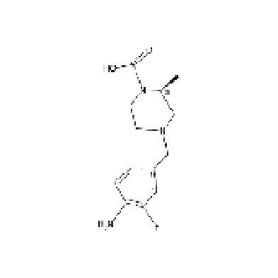 C[C@H]1CN(Cc2ccc(N)c(F)c2)CCN1C(=O)O